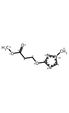 COC(=O)CCOc1ncn(C)n1